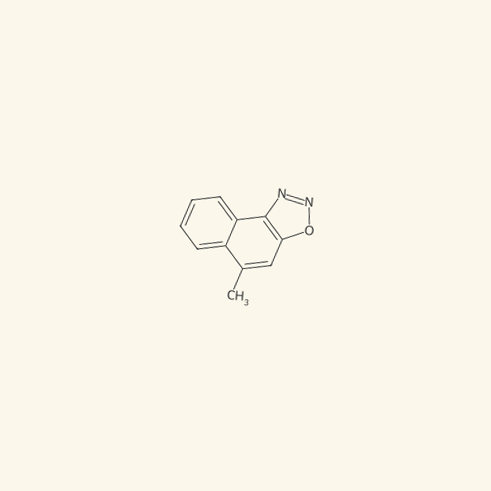 Cc1cc2onnc2c2ccccc12